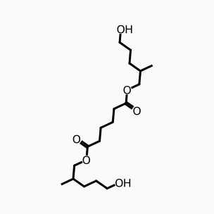 CC(CCCO)COC(=O)CCCCC(=O)OCC(C)CCCO